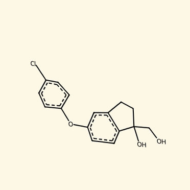 OCC1(O)CCc2cc(Oc3ccc(Cl)cc3)ccc21